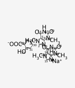 Cn1cnc2c1c(=O)[nH]c(=O)n2C.Cn1cnc2c1c(=O)[nH]c(=O)n2C.O=C([O-])c1ccccc1O.[Na+]